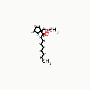 CCCCCCCCC(=O)C1(COC)CCCC1